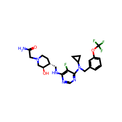 NC(=O)CN1CC[C@H](CNc2ncnc(N(Cc3cccc(OC(F)(F)F)c3)C3CC3)c2F)[C@@H](O)C1